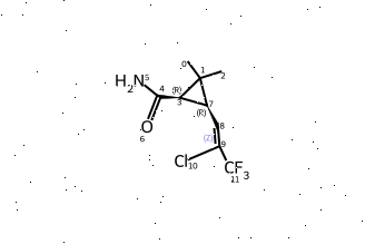 CC1(C)[C@H](C(N)=O)[C@@H]1/C=C(\Cl)C(F)(F)F